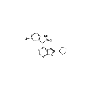 O=C1Nc2ccc(Cl)cc2C1c1ncnc2nn(C3CCCC3)cc12